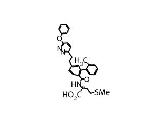 CSCC[C@H](NC(=O)c1ccc(CCc2ccc(Oc3ccccc3)nn2)cc1-c1ccccc1C)C(=O)O